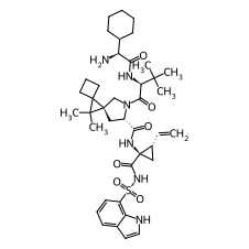 C=C[C@@H]1C[C@]1(NC(=O)[C@@H]1C[C@@]2(CN1C(=O)[C@@H](NC(=O)[C@@H](N)C1CCCCC1)C(C)(C)C)C(C)(C)C21CCC1)C(=O)NS(=O)(=O)c1cccc2cc[nH]c12